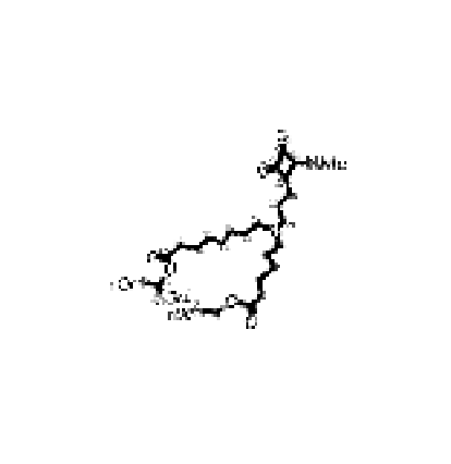 CCCCCCCCCCCOC(=O)CCCCCN(CCCCCCCC(=O)OC(CCCCCCCC)CCCCCCCC)CCCC1C(=O)C(=O)C1NC